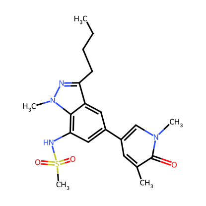 CCCCc1nn(C)c2c(NS(C)(=O)=O)cc(-c3cc(C)c(=O)n(C)c3)cc12